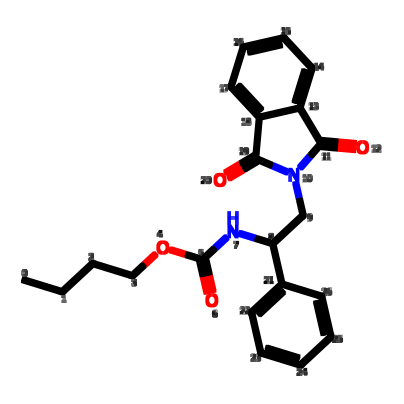 CCCCOC(=O)NC(CN1C(=O)c2ccccc2C1=O)c1ccccc1